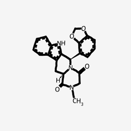 CN1CC(=O)N2[C@H](c3cccc4c3OCO4)c3[nH]c4ccccc4c3C[C@@H]2C1=O